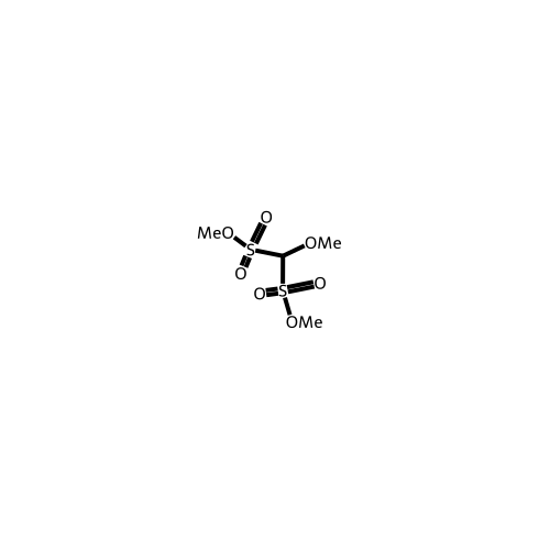 COC(S(=O)(=O)OC)S(=O)(=O)OC